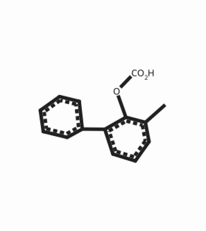 Cc1cccc(-c2ccccc2)c1OC(=O)O